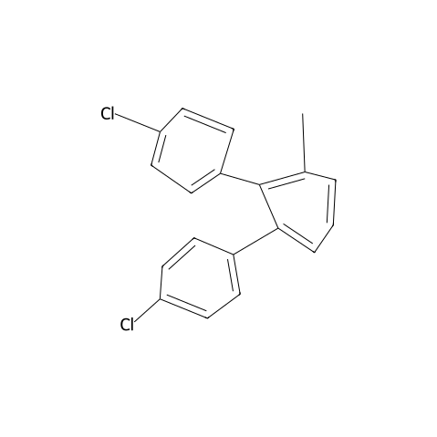 Cc1cccc(-c2ccc(Cl)cc2)c1-c1ccc(Cl)cc1